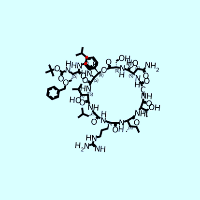 CC[C@H](C)C1NC(=O)[C@@H](CCCNC(=N)N)NC(=O)[C@H](CC(C)C)NC(=O)[C@H]([C@H](O)C(C)C)NC(=O)[C@@H](NC(=O)[C@H](CC(C)C)NC(=O)[C@H](COCc2ccccc2)NC(=O)OC(C)(C)C)[C@@H](c2ccccc2)OC(=O)[C@H](CO)NC(=O)[C@H]([C@H](O)C(N)=O)NC(=O)CNC(=O)C([C@H](C)O)NC1=O